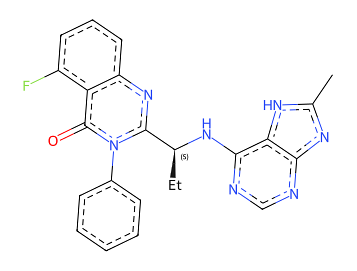 CC[C@H](Nc1ncnc2nc(C)[nH]c12)c1nc2cccc(F)c2c(=O)n1-c1ccccc1